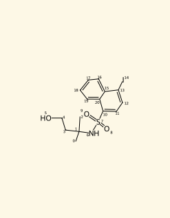 CC(C)(CCO)NS(=O)(=O)c1ccc(I)c2ccccc12